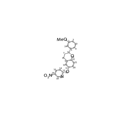 COc1cccc(C2CCc3cc(Oc4ccc([N+](=O)[O-])cn4)ccc3O2)c1